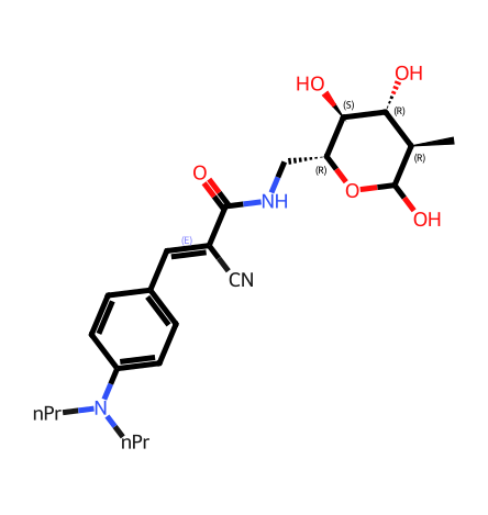 CCCN(CCC)c1ccc(/C=C(\C#N)C(=O)NC[C@H]2OC(O)[C@H](C)[C@@H](O)[C@@H]2O)cc1